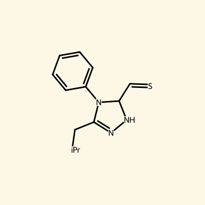 CC(C)CC1=NNC(C=S)N1c1ccccc1